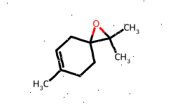 CC1=CCC2(CC1)OC2(C)C